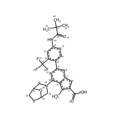 Cc1c(C(=O)O)cn2nc(-c3cnc(NC(=O)C(C)(C)C)cc3C(F)(F)F)nc(N3CC4CCC(C3)O4)c12